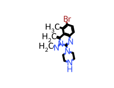 C=NN1C(=C)c2c(ccc(Br)c2C)N=C1N1CCNCC1